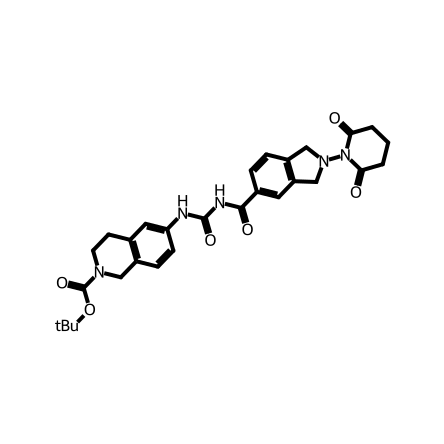 CC(C)(C)OC(=O)N1CCc2cc(NC(=O)NC(=O)c3ccc4c(c3)CN(N3C(=O)CCCC3=O)C4)ccc2C1